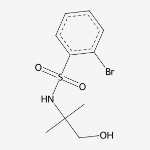 CC(C)(CO)NS(=O)(=O)c1ccccc1Br